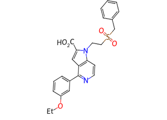 CCOc1cccc(-c2nccc3c2cc(C(=O)O)n3CCS(=O)(=O)Cc2ccccc2)c1